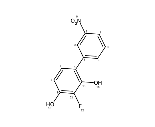 O=[N+]([O-])c1cccc(-c2ccc(O)c(F)c2O)c1